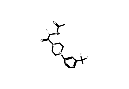 CC(=O)N[C@@H](C)C(=O)N1CCN(c2cccc(C(F)(F)F)c2)CC1